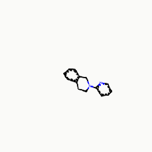 [c]1ccc2c(c1)CCN(c1ccccn1)C2